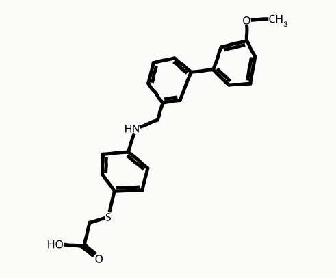 COc1cccc(-c2cccc(CNc3ccc(SCC(=O)O)cc3)c2)c1